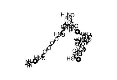 CC[C@H](C)[C@@H]([C@@H](CC(=O)N1CCC[C@H]1[C@H](OC)[C@@H](C)C(=O)N[C@H](C)[C@@H](O)c1ccccc1)OC)N(C)C(=O)[C@@H](NC(=O)[C@H](C(C)C)N(C)C(=O)OCc1ccc(NC(=O)[C@H](CCCNC(N)=O)NC(=O)[C@@H](NC(=O)CCC(=O)NCCOCCOCCOCCOCCC(=O)NCc2ccc(-c3nnc(C)nn3)cc2)C(C)C)cc1)C(C)C